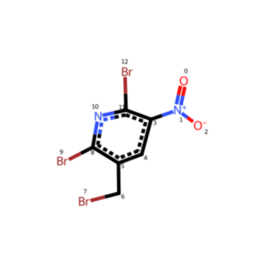 O=[N+]([O-])c1cc(CBr)c(Br)nc1Br